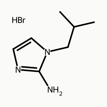 Br.CC(C)Cn1ccnc1N